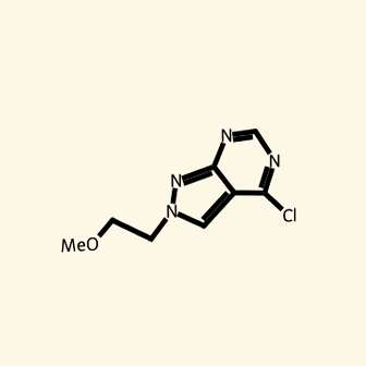 COCCn1cc2c(Cl)ncnc2n1